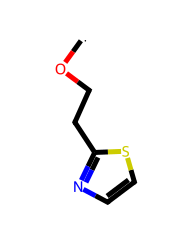 [CH2]OCCc1nccs1